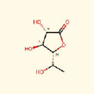 CC(O)[C@H]1OC(=O)[C@@H](O)[C@@H]1O